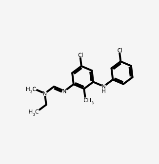 CCN(C)C=Nc1cc(Cl)cc(Nc2cccc(Cl)c2)c1C